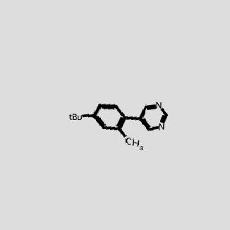 Cc1cc(C(C)(C)C)ccc1-c1cncnc1